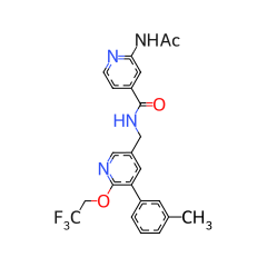 CC(=O)Nc1cc(C(=O)NCc2cnc(OCC(F)(F)F)c(-c3cccc(C)c3)c2)ccn1